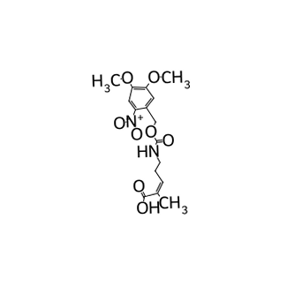 COc1cc(COC(=O)NCCC=C(C)C(=O)O)c([N+](=O)[O-])cc1OC